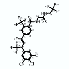 FC(=CC(c1cc(Cl)c(Cl)c(Cl)c1)C(F)(F)F)c1ccc(C(=S)NCC(=S)NCC(F)(F)F)c(C(F)(F)F)c1